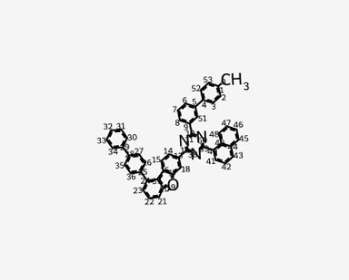 Cc1ccc(-c2cccc(-c3nc(-c4ccc5c(c4)oc4cccc(-c6ccc(-c7ccccc7)cc6)c45)nc(-c4cccc5ccccc45)n3)c2)cc1